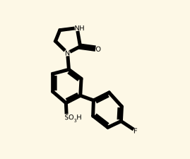 O=C1NCCN1c1ccc(S(=O)(=O)O)c(-c2ccc(F)cc2)c1